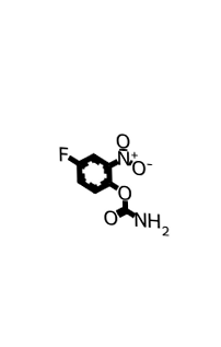 NC(=O)Oc1ccc(F)cc1[N+](=O)[O-]